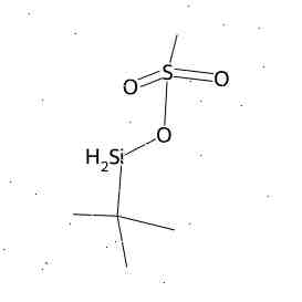 CC(C)(C)[SiH2]OS(C)(=O)=O